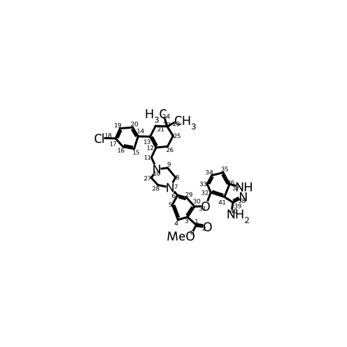 COC(=O)c1ccc(N2CCN(CC3=C(c4ccc(Cl)cc4)CC(C)(C)CC3)CC2)cc1Oc1cccc2[nH]nc(N)c12